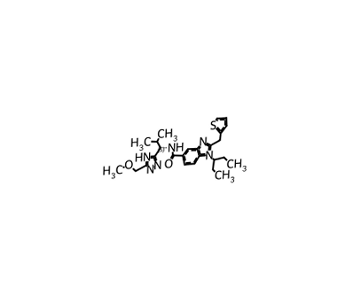 CCC(CC)n1c(Cc2cccs2)nc2cc(C(=O)N[C@H](c3nnc(COC)[nH]3)C(C)C)ccc21